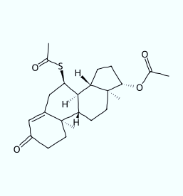 CC(=O)O[C@H]1CC[C@H]2[C@@H]3[C@H](SC(C)=O)CC4=CC(=O)CC[C@]4(C)[C@H]3CC[C@]12C